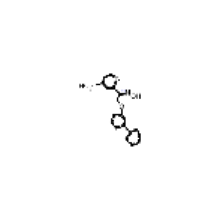 O=C(O)c1ccnc(/C(COc2cccc(-c3ccccc3)c2)=N/O)c1